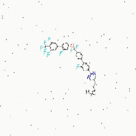 C=CCCc1cnc(-c2ccc(-c3ccc(C(F)(F)Oc4ccc(-c5cc(F)c(C(F)(F)F)c(F)c5)c(F)c4)cc3)c(F)c2)nc1